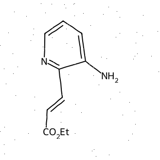 CCOC(=O)/C=C/c1ncccc1N